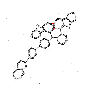 c1ccc(N(c2ccc(-c3ccc(-c4ccc5ccccc5c4)cc3)cc2)c2cccc3oc4ccccc4c23)c(-c2cccc3c2sc2ccccc23)c1